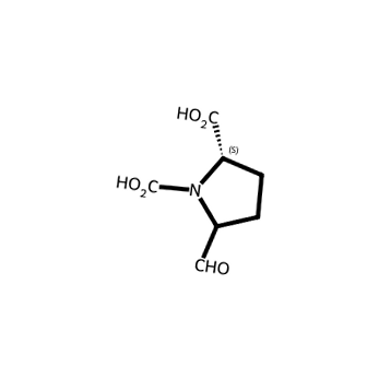 O=CC1CC[C@@H](C(=O)O)N1C(=O)O